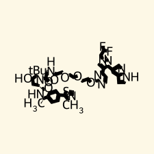 Cc1ncsc1-c1ccc([C@H](C)NC(=O)[C@@H]2C[C@@H](O)CN2C(=O)C(NC(=O)COCCOCCOc2nccc(-c3cn(CC(F)F)nc3-c3cnc4[nH]ccc4c3)n2)C(C)(C)C)cc1